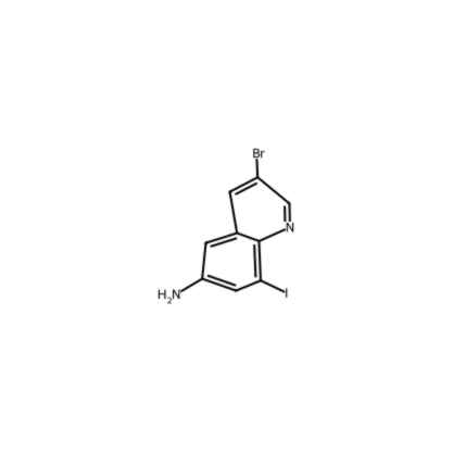 Nc1cc(I)c2ncc(Br)cc2c1